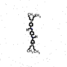 CCCCN(CCCC)c1ccc(/C(C#N)=C/c2ccc(/C=C(\C#N)c3ccc(N(CCCC)CCCC)cc3)cc2)cc1